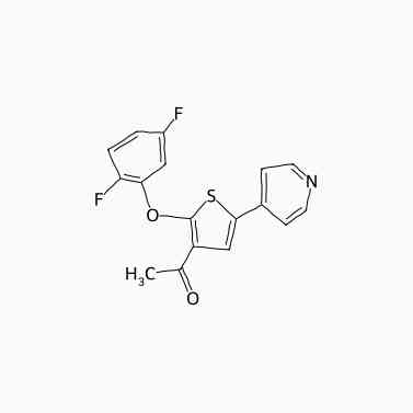 CC(=O)c1cc(-c2ccncc2)sc1Oc1cc(F)ccc1F